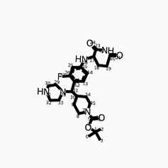 CC(C)(C)OC(=O)N1CCC(C(c2ccc(NC3CCC(=O)NC3=O)cc2F)N2CCNCC2)CC1